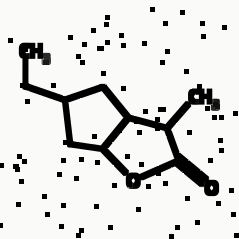 CCC1CC2OC(=O)C(C)C2C1